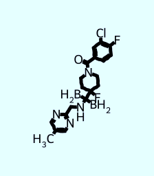 BC(B)(NCc1ncc(C)cn1)C1(F)CCN(C(=O)c2ccc(F)c(Cl)c2)CC1